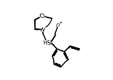 C=Cc1ccccc1[SiH](COC)CN1CCOCC1